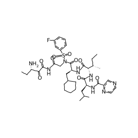 CC[C@H](N)C(=O)C(=O)NC(=O)CN(C(=O)[C@H](CC1CCCCC1)NC(=O)[C@@H](NC(=O)[C@H](CC(C)C)NC(=O)c1cnccn1)[C@@H](C)CC)S(=O)(=O)c1cccc(F)c1